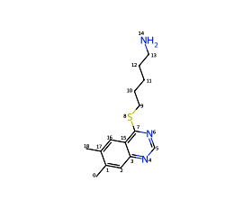 Cc1cc2ncnc(SCCCCCN)c2cc1C